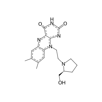 Cc1cc2nc3c(=O)[nH]c(=O)nc-3n(CCN3CCC[C@H]3CO)c2cc1C